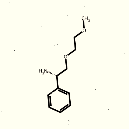 COCCOC[C@@H](N)c1ccccc1